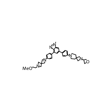 COCCN1CC2(C1)CN(c1ccc(-c3cc(-c4ccc(N5CCC6(CC5)CN(C5COC5)C6)cc4)cc4c3ncn4C)cc1)C2